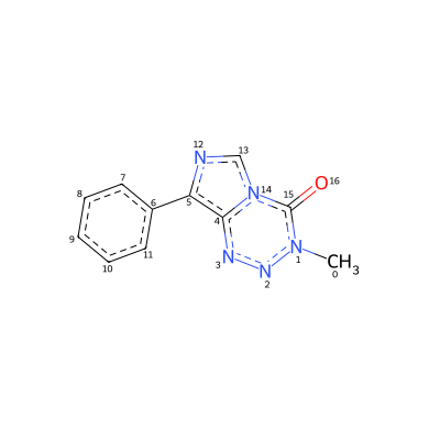 Cn1nnc2c(-c3ccccc3)ncn2c1=O